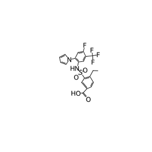 CCc1ccc(C(=O)O)cc1S(=O)(=O)Nc1cc(C(F)(F)F)c(F)cc1-n1cccc1